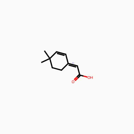 CC1(C)C=C/C(=C/C(=O)O)CC1